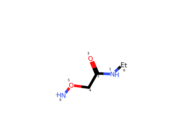 CCNC(=O)CO[NH]